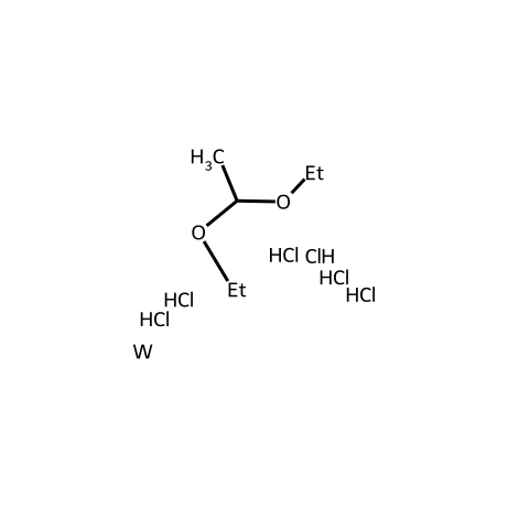 CCOC(C)OCC.Cl.Cl.Cl.Cl.Cl.Cl.[W]